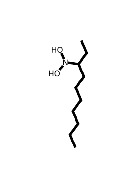 CCCCCCCC(CC)N(O)O